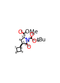 COC(=O)[C@@H]1CC(=C2CCC2)C(=O)N1C(=O)OC(C)(C)C